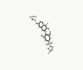 CNCCCc1ccc2c(C)c(F)c(-c3c(F)cc(S(=O)(=O)N4CC[C@H](F)C4)cc3F)nc2c1